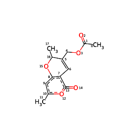 CC(=O)OCC1=Cc2c(cc(C)oc2=O)OC1C